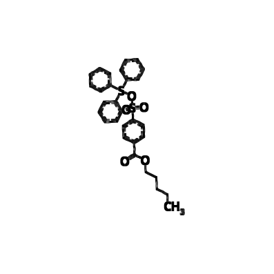 CCCCCOC(=O)c1ccc(S(=O)(=O)OS(c2ccccc2)(c2ccccc2)c2ccccc2)cc1